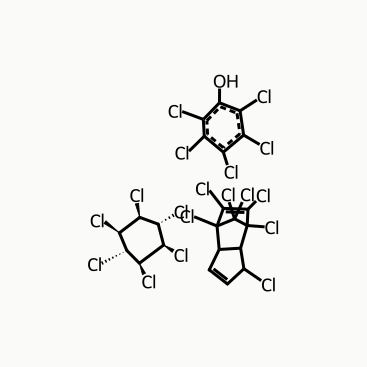 ClC1=C(Cl)C2(Cl)C3C(Cl)C=CC3C1(Cl)C2(Cl)Cl.Cl[C@H]1[C@H](Cl)[C@@H](Cl)[C@@H](Cl)[C@H](Cl)[C@H]1Cl.Oc1c(Cl)c(Cl)c(Cl)c(Cl)c1Cl